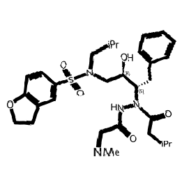 CNCC(=O)NN(C(=O)CC(C)C)[C@@H](Cc1ccccc1)[C@H](O)CN(CC(C)C)S(=O)(=O)c1ccc2c(c1)CCO2